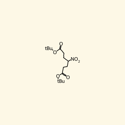 CC(C)(C)OC(=O)CCC(CCC(=O)OC(C)(C)C)[N+](=O)[O-]